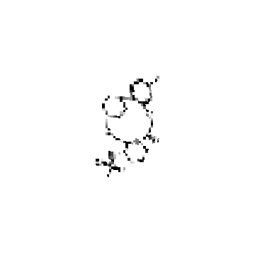 Cc1ccc2c(c1)OCC(=O)N1CCC[C@H](NS(C)(=O)=O)C1COC1CCC2CC1